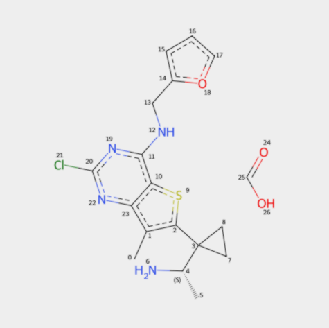 Cc1c(C2([C@H](C)N)CC2)sc2c(NCc3ccco3)nc(Cl)nc12.O=CO